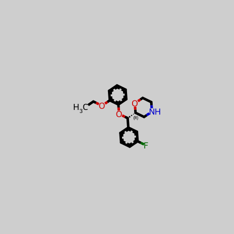 CCOc1ccccc1OC(c1cccc(F)c1)[C@H]1CNCCO1